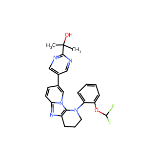 CC(C)(O)c1ncc(-c2ccc3nc4c(n3c2)N(c2ccccc2OC(F)F)CCC4)cn1